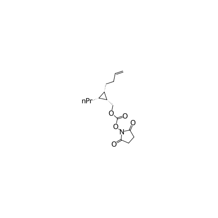 C=CCC[C@H]1[C@@H](CCC)[C@H]1COC(=O)ON1C(=O)CCC1=O